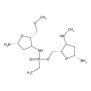 B[C@H]1CC(NC)[C@@H](COP(=O)(CC)NC2C[C@H](B)O[C@@H]2COC)O1